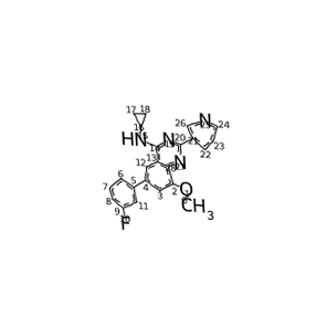 COc1cc(-c2cccc(F)c2)cc2c(NC3CC3)nc(-c3cccnc3)nc12